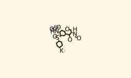 CS(=O)(=O)Nc1cc2occ(NC=O)c(=O)c2cc1[S+]([O-])c1ccccc1.[K]